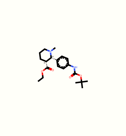 CCOC(=O)[C@@H]1CCCN(C)[C@@H]1c1ccc(NC(=O)OC(C)(C)C)cc1